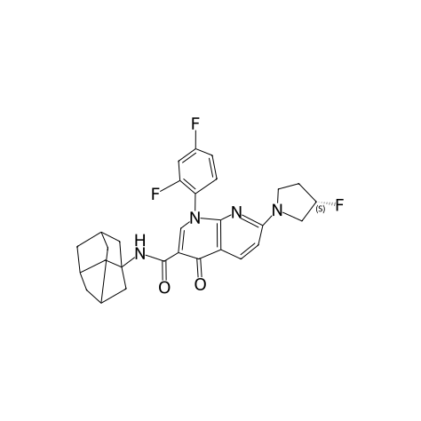 O=C(NC12CC3CC(CC(C3)C1)C2)c1cn(-c2ccc(F)cc2F)c2nc(N3CC[C@H](F)C3)ccc2c1=O